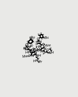 COc1nc(N(C)C2CNCCO2)nc(OC)c1NC(=O)c1csc(Oc2cc(C(C)(C)C)ccc2C)n1.COc1nc(NCCNC(C)C)nc(OC)c1NC(=O)c1nnc(Oc2cccc(C(C)(C)C)c2)n1C